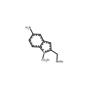 CCOC(=O)n1c(CNC(C)=O)cc2cc(N)ccc21